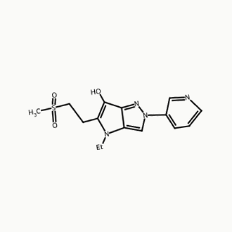 CCn1c(CCS(C)(=O)=O)c(O)c2nn(-c3cccnc3)cc21